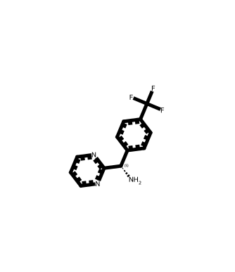 N[C@@H](c1ccc(C(F)(F)F)cc1)c1ncccn1